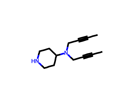 CC#CCN(CC#CC)C1CCNCC1